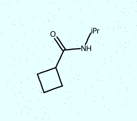 CC(C)NC(=O)C1C[CH]C1